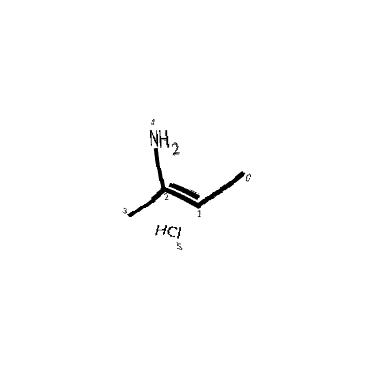 C/C=C(/C)N.Cl